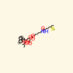 CCC(CCCCC(=O)NCCCCCCOC(=O)OC1CC(=O)OC(CC[C@H]2[C@@H](C)C=CC3=C[C@@H](C)CC(OC(=O)C(C)CC)[C@H]32)C1)SSC